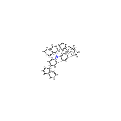 c1ccc2c(c1)-c1c(N(c3ccc(-c4cccc5ccccc45)cc3)c3cccc4ccccc34)cccc1C21C2CC3CC(C2)CC1C3